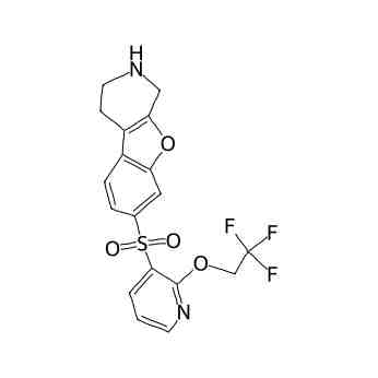 O=S(=O)(c1ccc2c3c(oc2c1)CNCC3)c1cccnc1OCC(F)(F)F